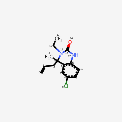 C=CCC1(C(F)(F)F)c2cc(Cl)ccc2NC(=O)N1CC(F)(F)F